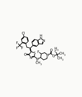 CN(C1=NC(=O)C(=C(Cc2ccc(Cl)cc2C(F)(F)F)c2ccc3[nH]ncc3c2)S1)C1CCN(C(=O)OC(C)(C)C)CC1F